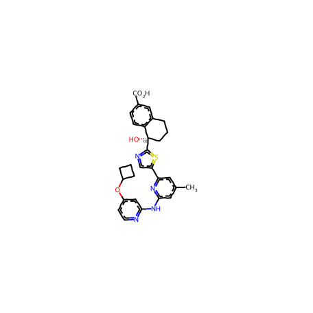 Cc1cc(Nc2cc(OC3CCC3)ccn2)nc(-c2cnc([C@]3(O)CCCc4cc(C(=O)O)ccc43)s2)c1